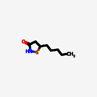 CCCCCC1CC(=O)NS1